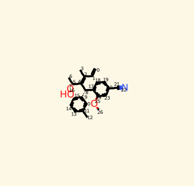 C=C/C(C)=C(/C(C)=O)[C@@H](c1cc(C)ccc1O)c1ccc(C#N)cc1OC